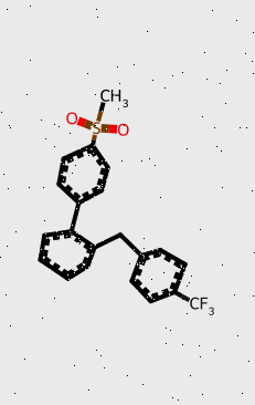 CS(=O)(=O)c1ccc(-c2ccccc2Cc2ccc(C(F)(F)F)cc2)cc1